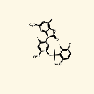 COc1cc(F)c(-n2c(=O)[nH]c3c(C)cc(C(=O)O)nc32)cc1SC(C)(C)c1c(OC)ccc(F)c1F